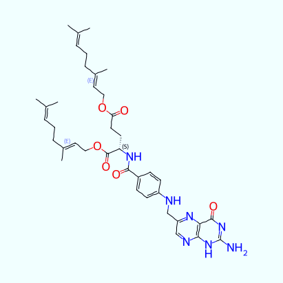 CC(C)=CCC/C(C)=C/COC(=O)CC[C@H](NC(=O)c1ccc(NCc2cnc3[nH]c(N)nc(=O)c3n2)cc1)C(=O)OC/C=C(\C)CCC=C(C)C